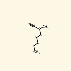 [C]#CC(C)CCCCC